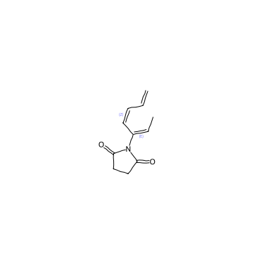 C=C/C=C\C(=C/C)N1C(=O)CCC1=O